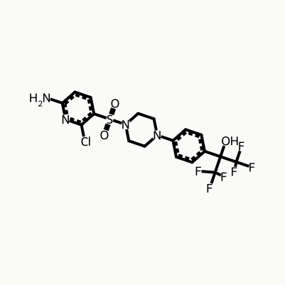 Nc1ccc(S(=O)(=O)N2CCN(c3ccc(C(O)(C(F)(F)F)C(F)(F)F)cc3)CC2)c(Cl)n1